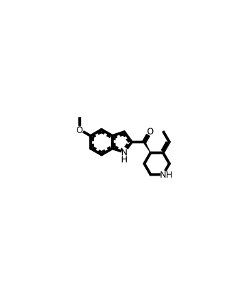 C/C=C1/CNCC[C@H]1C(=O)c1cc2cc(OC)ccc2[nH]1